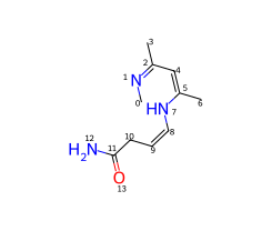 C/N=C(C)\C=C(\C)N/C=C\CC(N)=O